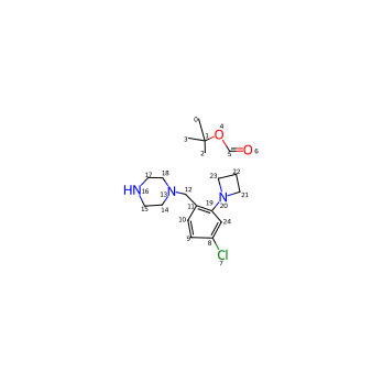 CC(C)(C)OC=O.Clc1ccc(CN2CCNCC2)c(N2CCC2)c1